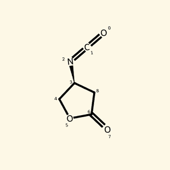 O=C=N[C@@H]1COC(=O)C1